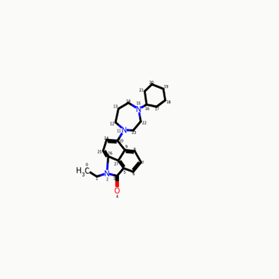 CCN1C(=O)c2cccc3c(N4CCCN(C5CCCCC5)CC4)ccc1c23